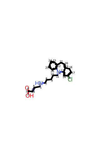 O=C(O)/C=C/CNCCCCCN1C2=CC(Cl)=CCC2=CCc2ccccc21